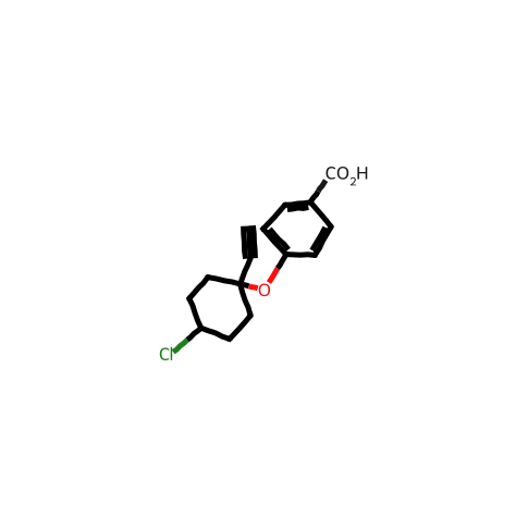 C#CC1(Oc2ccc(C(=O)O)cc2)CCC(Cl)CC1